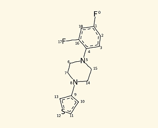 Fc1ccc(N2CCN(c3ccsc3)CC2)c(F)c1